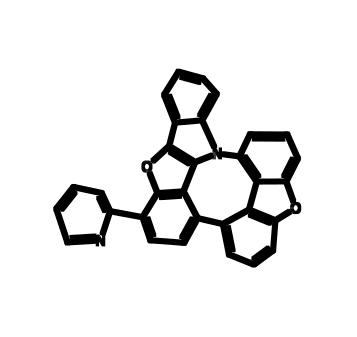 c1ccc(-c2ccc3c4cccc5oc6cccc(c6c54)n4c5ccccc5c5oc2c3c54)nc1